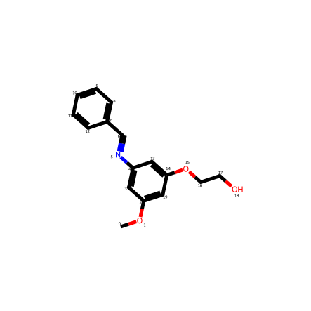 COc1cc(/N=C/c2ccccc2)cc(OCCO)c1